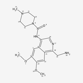 COc1cc2c(NC(=O)N3CCN(C)CC3)cnc(CN)c2cc1OC